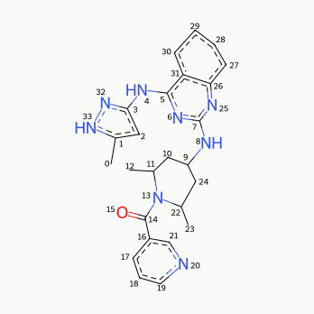 Cc1cc(Nc2nc(NC3CC(C)N(C(=O)c4cccnc4)C(C)C3)nc3ccccc23)n[nH]1